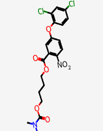 CN(C)C(=O)OCCCCOC(=O)c1cc(Oc2ccc(Cl)cc2Cl)ccc1[N+](=O)[O-]